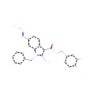 CC(C)c1c(C(=O)NCc2ccc(F)c(F)c2)c2ccc(/C=N/O)cc2n1Cc1ccccc1